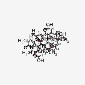 CC(C)C[C@H](NC(=O)[C@H](CC(=O)O)NC(=O)[C@H](C)NC(=O)[C@H](C)NC(=O)[C@@H]1CCCN1C(=O)[C@H](CC(C)C)NC(=O)[C@@H](N)CC(C)C)C(=O)N[C@@H](CC(=O)O)C(=O)N[C@@H](CC(=O)O)C(=O)N[C@@H](Cc1ccccc1)C(=O)O